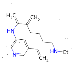 C=Cc1cncc(NC(=C)C(=C)CCCCNCC)c1